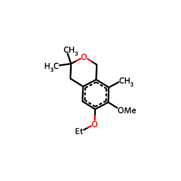 CCOc1cc2c(c(C)c1OC)COC(C)(C)C2